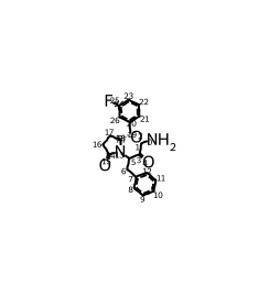 NC(=O)C(=O)C(Cc1ccccc1)N1C(=O)CC[C@@H]1Cc1cccc(F)c1